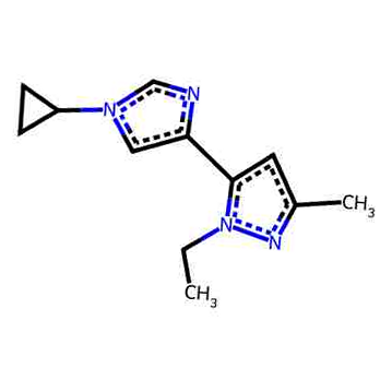 CCn1nc(C)cc1-c1cn(C2CC2)cn1